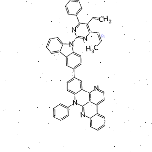 C=Cc1c(/C=C\C)nc(-n2c3ccccc3c3cc(-c4ccc5c(c4)-c4nccc6c4c(nc4ccccc46)N5c4ccccc4)ccc32)nc1-c1ccccc1